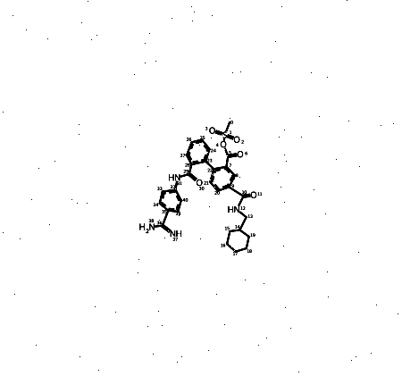 CS(=O)(=O)OC(=O)c1cc(C(=O)NCC2CCCCC2)ccc1-c1ccccc1C(=O)Nc1ccc(C(=N)N)cc1